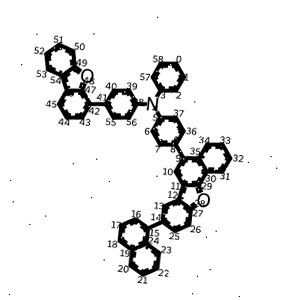 c1ccc(N(c2ccc(-c3cc4c5cc(-c6cccc7ccccc67)ccc5oc4c4ccccc34)cc2)c2ccc(-c3cccc4c3oc3ccccc34)cc2)cc1